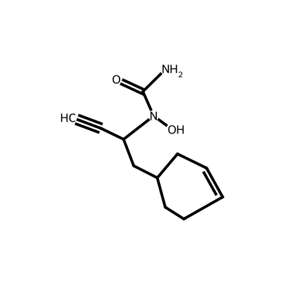 C#CC(CC1CC=CCC1)N(O)C(N)=O